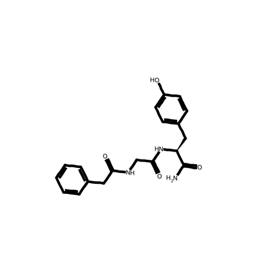 NC(=O)[C@H](Cc1ccc(O)cc1)NC(=O)CNC(=O)Cc1ccccc1